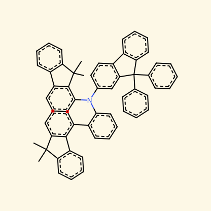 CC1(C)c2ccccc2-c2c(-c3ccccc3N(c3ccc4c(c3)C(c3ccccc3)(c3ccccc3)c3ccccc3-4)c3cccc4c3C(C)(C)c3ccccc3-4)cccc21